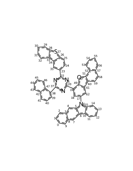 c1ccc2cc3c(cc2c1)c1ccccc1n3-c1cc(-c2nc(-c3ccc4sc5ccccc5c4c3)nc(-c3cccc4ccccc34)n2)c2oc3c4ccccc4ccc3c2c1